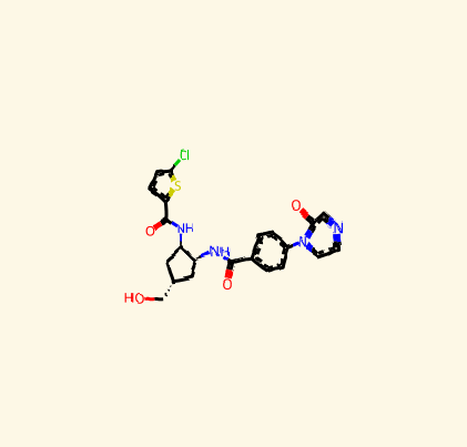 O=C(N[C@H]1C[C@H](CO)C[C@H]1NC(=O)c1ccc(Cl)s1)c1ccc(-n2ccncc2=O)cc1